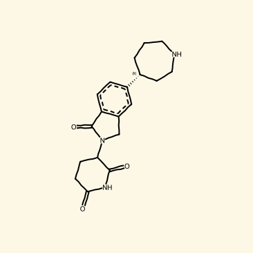 O=C1CCC(N2Cc3cc([C@@H]4CCCNCC4)ccc3C2=O)C(=O)N1